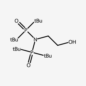 CC(C)(C)P(=O)(N(CCO)P(=O)(C(C)(C)C)C(C)(C)C)C(C)(C)C